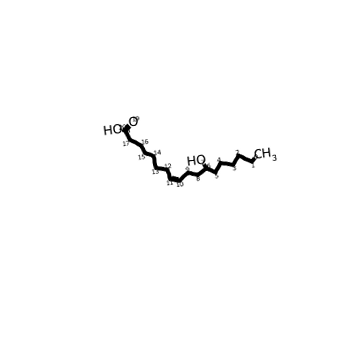 CCCCCCC(O)CC/C=C\CCCCCCC(=O)O